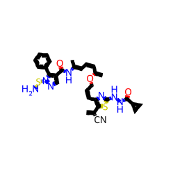 C=C(/C=C\C=C(/C)NC(=O)c1cnn(SN)c1-c1ccccc1)OC/C=C\c1nc(NNC(=O)C2CC2)sc1C(=C)C#N